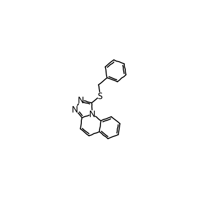 c1ccc(CSc2nnc3ccc4ccccc4n23)cc1